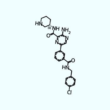 Nc1ncc(-c2cccc(C(=O)NCc3ccc(Cl)cc3)c2)nc1C(=O)N[C@H]1CCCNC1